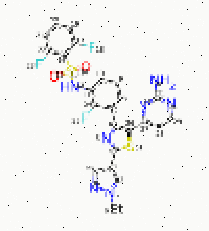 CCn1cc(-c2nc(-c3cccc(NS(=O)(=O)c4c(F)cccc4F)c3F)c(-c3ccnc(N)n3)s2)cn1